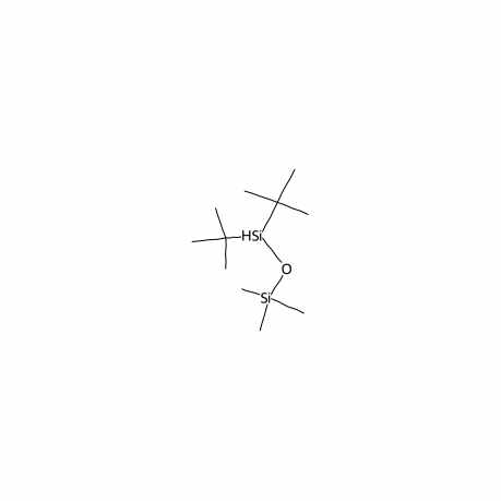 CC(C)(C)[SiH](O[Si](C)(C)C)C(C)(C)C